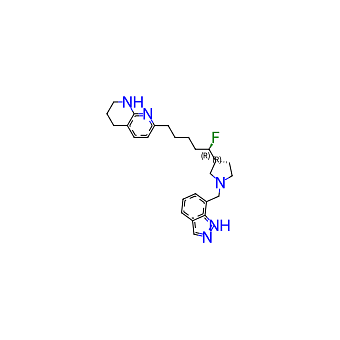 F[C@H](CCCCc1ccc2c(n1)NCCC2)[C@@H]1CCN(Cc2cccc3cn[nH]c23)C1